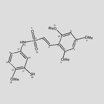 COc1cc(OC)c(C=CS(=O)(=O)Nc2ccc(OC)c(S)c2)c(OC)c1